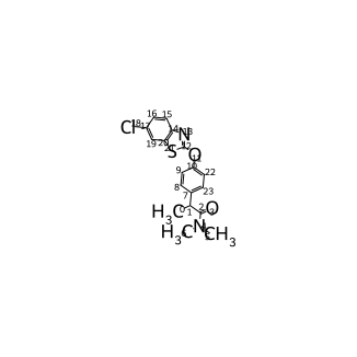 CC(C(=O)N(C)C)c1ccc(Oc2nc3ccc(Cl)cc3s2)cc1